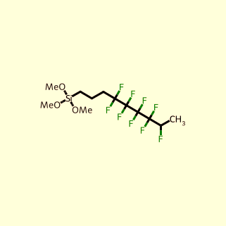 CO[Si](CCCC(F)(F)C(F)(F)C(F)(F)C(F)(F)C(C)F)(OC)OC